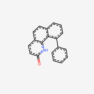 O=c1ccc2ccc3cccc(-c4ccccc4)c3c2[nH]1